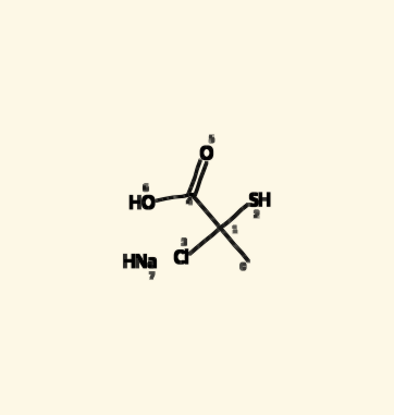 CC(S)(Cl)C(=O)O.[NaH]